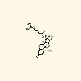 CC1(C)O[C@@H]2C[C@H]3C4CCC5=CC(=O)C=C[C@]5(C)[C@@]4(F)[C@@H](O)C[C@]3(C)[C@]2(C(=O)COC(=O)CCCON(O)O)O1